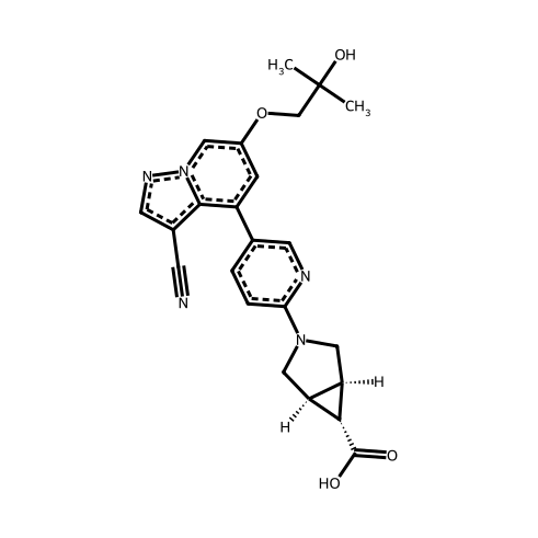 CC(C)(O)COc1cc(-c2ccc(N3C[C@@H]4[C@H](C3)[C@H]4C(=O)O)nc2)c2c(C#N)cnn2c1